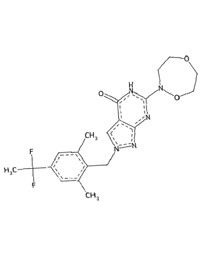 Cc1cc(C(C)(F)F)cc(C)c1Cn1cc2c(=O)[nH]c(N3CCOCCO3)nc2n1